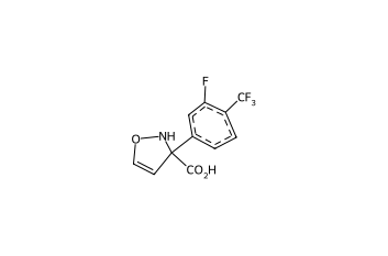 O=C(O)C1(c2ccc(C(F)(F)F)c(F)c2)C=CON1